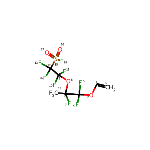 C=COC(F)(F)C(F)(OC(F)(F)C(F)(F)S(=O)(=O)F)C(F)(F)F